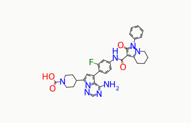 Nc1ncnn2c(C3CCN(C(=O)O)CC3)cc(-c3ccc(NC(=O)c4c5n(n(-c6ccccc6)c4=O)CCCC5)cc3F)c12